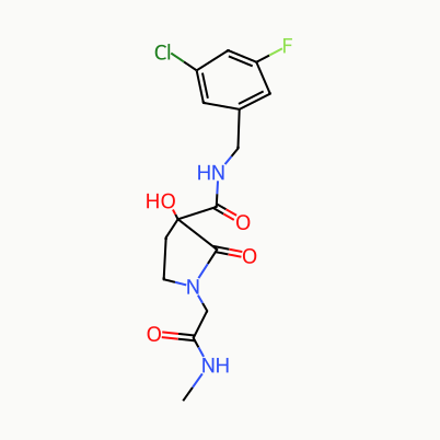 CNC(=O)CN1CCC(O)(C(=O)NCc2cc(F)cc(Cl)c2)C1=O